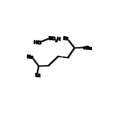 CCCCC(CC)CCC[CH]([Na])CC.O=S(=O)(O)O